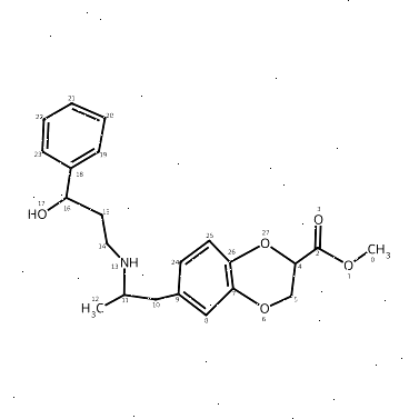 COC(=O)C1COc2cc(CC(C)NCCC(O)c3ccccc3)ccc2O1